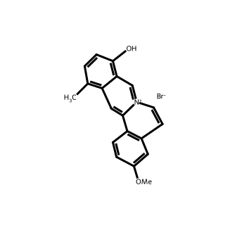 COc1ccc2c(cc[n+]3cc4c(O)ccc(C)c4cc23)c1.[Br-]